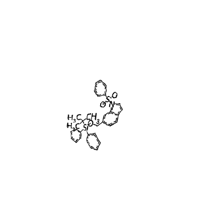 CC(C)(C)[Si](OCc1ccc2ccn(S(=O)(=O)c3ccccc3)c2c1)(c1ccccc1)c1ccccc1